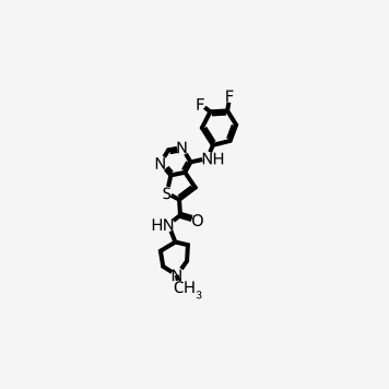 CN1CCC(NC(=O)c2cc3c(Nc4ccc(F)c(F)c4)ncnc3s2)CC1